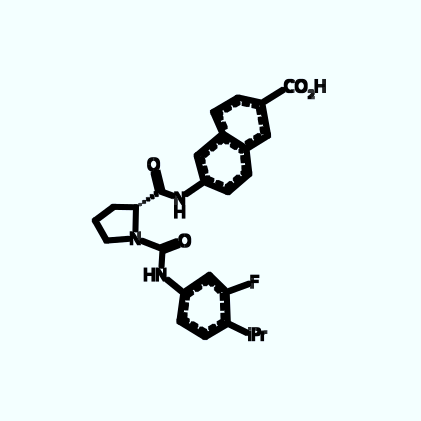 CC(C)c1ccc(NC(=O)N2CCC[C@@H]2C(=O)Nc2ccc3cc(C(=O)O)ccc3c2)cc1F